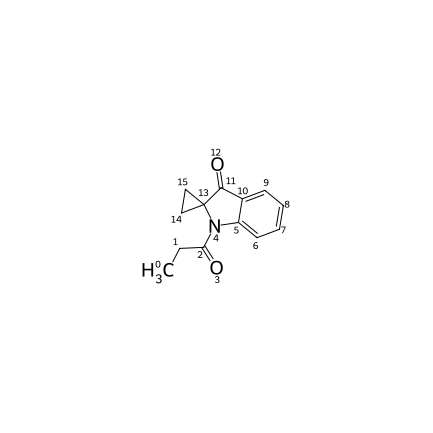 CCC(=O)N1c2ccccc2C(=O)C12CC2